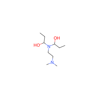 CCC(O)N(CCN(C)C)C(O)CC